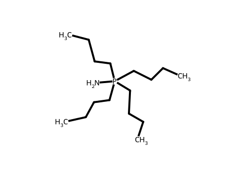 CCCCP(N)(CCCC)(CCCC)CCCC